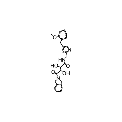 COc1ccccc1Cc1cnc(CNC(=O)[C@H](O)[C@@H](O)C(=O)N2Cc3ccccc3C2)s1